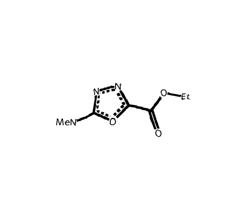 CCOC(=O)c1nnc(NC)o1